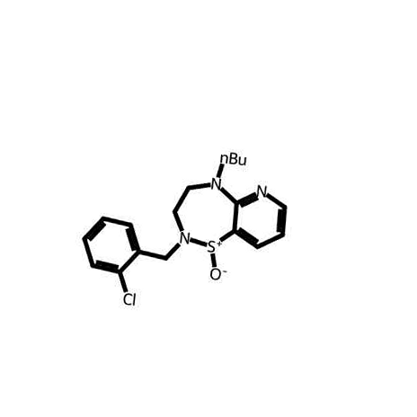 CCCCN1CCN(Cc2ccccc2Cl)[S+]([O-])c2cccnc21